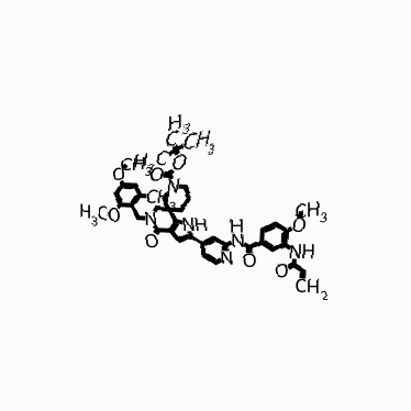 C=CC(=O)Nc1cc(C(=O)Nc2cc(-c3cc4c([nH]3)C3(CCCN(C(=O)OC(C)(C)C)C3)CN(Cc3c(C)cc(OC)cc3OC)C4=O)ccn2)ccc1OC